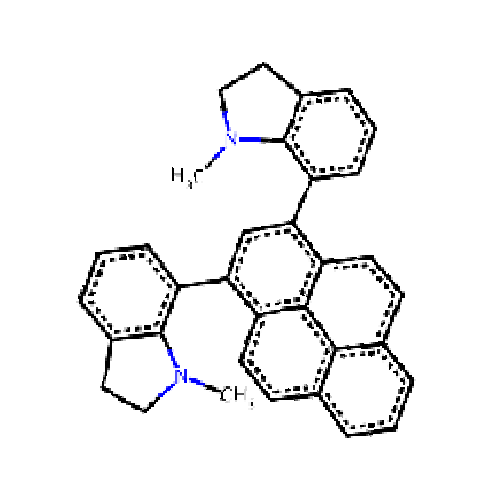 CN1CCc2cccc(-c3cc(-c4cccc5c4N(C)CC5)c4ccc5cccc6ccc3c4c65)c21